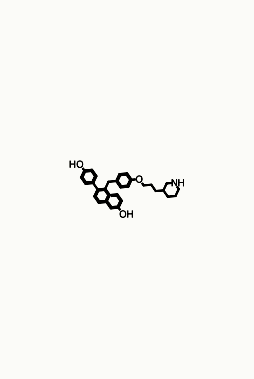 Oc1ccc(-c2ccc3cc(O)ccc3c2Cc2ccc(OCCCC3CCCNC3)cc2)cc1